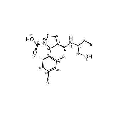 CCC(CO)NC[C@@H]1CCN(C(=O)O)[C@H]1c1ccc(F)cc1C